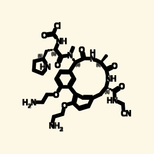 C[C@@H]1NC(=O)[C@@H](N(C)C(=O)[C@H](C[C@@H]2CCCN2)NC(=O)Cl)c2ccc(OCCN)c(c2)-c2cc(ccc2OCCN)C[C@@H](C(=O)NCC#N)NC1=O